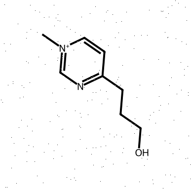 C[n+]1ccc(CCCO)nc1